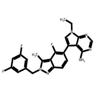 CCn1cc(-c2ccc3nn(Cc4cc(F)cc(F)c4)c(C)c3c2F)c2c(N)ncnc21